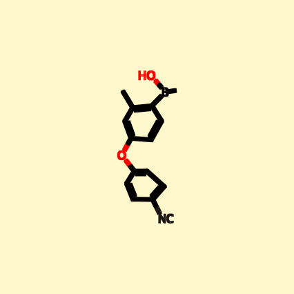 [C-]#[N+]c1ccc(Oc2ccc(B(C)O)c(C)c2)cc1